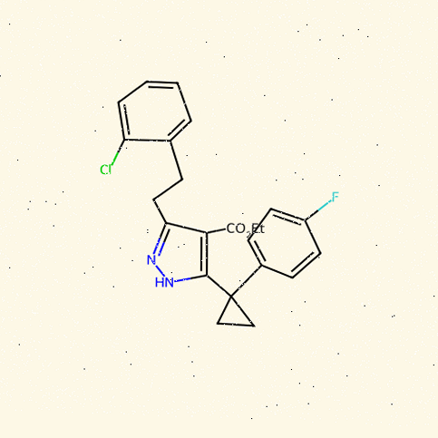 CCOC(=O)c1c(CCc2ccccc2Cl)n[nH]c1C1(c2ccc(F)cc2)CC1